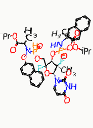 CC(C)OC(=O)C(C)N(Oc1ccc2ccccc2c1)[PH](=O)OC[C@@]1(F)O[C@@H](n2ccc(=O)[nH]c2=O)[C@](C)(F)[C@@H]1OP(=O)(N[C@@H](C)C(=O)OC(C)C)Oc1ccc2ccccc2c1